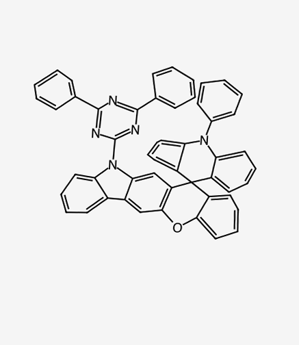 c1ccc(-c2nc(-c3ccccc3)nc(-n3c4ccccc4c4cc5c(cc43)C3(c4ccccc4O5)c4ccccc4N(c4ccccc4)c4ccccc43)n2)cc1